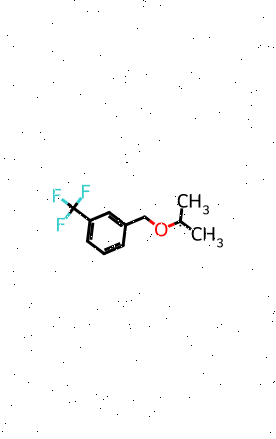 C[C](C)OCc1cccc(C(F)(F)F)c1